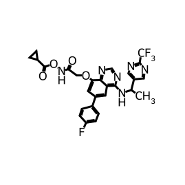 CC(Nc1ncnc2c(OCC(=O)NOC(=O)C3CC3)cc(-c3ccc(F)cc3)cc12)c1cnc(C(F)(F)F)nc1